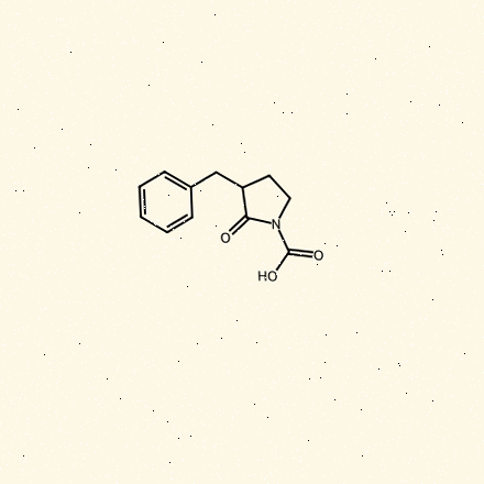 O=C(O)N1CCC(Cc2ccccc2)C1=O